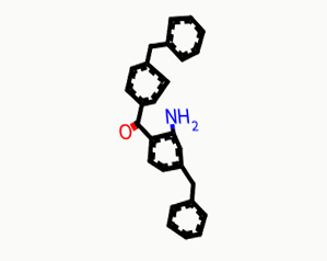 Nc1cc(Cc2ccccc2)ccc1C(=O)c1ccc(Cc2ccccc2)cc1